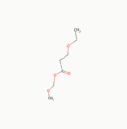 CCOCCC(=O)OCOC